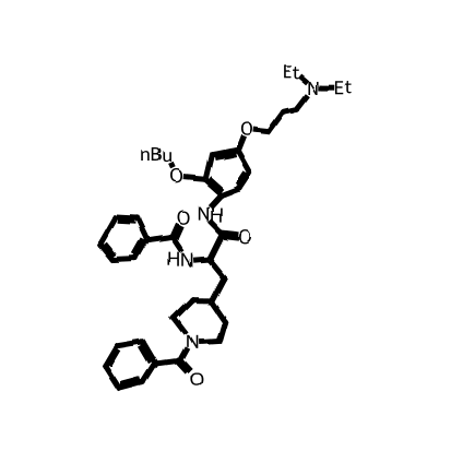 CCCCOc1cc(OCCCN(CC)CC)ccc1NC(=O)C(CC1CCN(C(=O)c2ccccc2)CC1)NC(=O)c1ccccc1